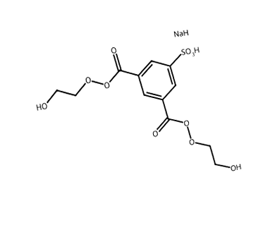 O=C(OOCCO)c1cc(C(=O)OOCCO)cc(S(=O)(=O)O)c1.[NaH]